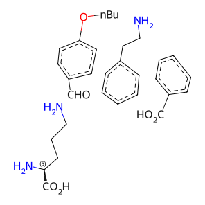 CCCCOc1ccc(C=O)cc1.NCCC[C@H](N)C(=O)O.NCCc1ccccc1.O=C(O)c1ccccc1